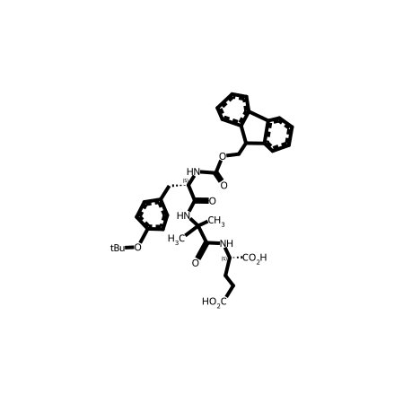 CC(C)(C)Oc1ccc(C[C@H](NC(=O)OCC2c3ccccc3-c3ccccc32)C(=O)NC(C)(C)C(=O)N[C@@H](CCC(=O)O)C(=O)O)cc1